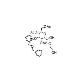 CC(=O)OC[C@H]1O[C@@H](C(O)COCCO)[C@H](OC(C)=O)[C@@H](OC(C)=O)[C@@H]1OC(C)=O.c1ccc(COCc2ccccc2)cc1